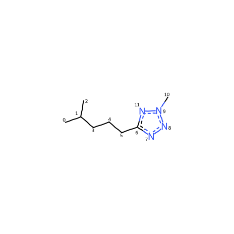 CC(C)CCCc1nnn(C)n1